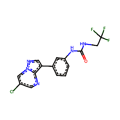 O=C(NCC(F)(F)F)Nc1cccc(-c2cnn3cc(Cl)cnc23)c1